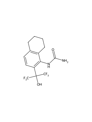 NC(=O)Nc1c(C(O)(C(F)(F)F)C(F)(F)F)ccc2c1CCCC2